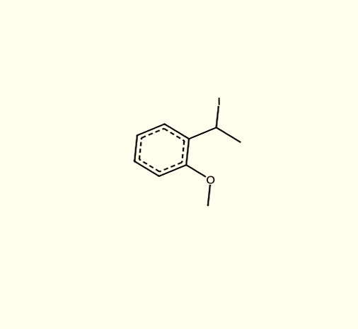 COc1ccccc1C(C)I